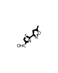 Cc1cc(-c2nc(C=O)cs2)no1